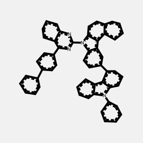 c1ccc(-c2ccc(-c3nc(-n4c5ccc(-c6cccc7c6c6ccccc6n7-c6ccccc6)cc5c5c6ccccc6ccc54)nc4ccccc34)cc2)cc1